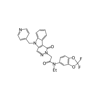 CCN(C(=O)Cn1ncc2c(c1=O)c1ccccc1n2Cc1ccncc1)c1ccc2c(c1)OC(F)(F)O2